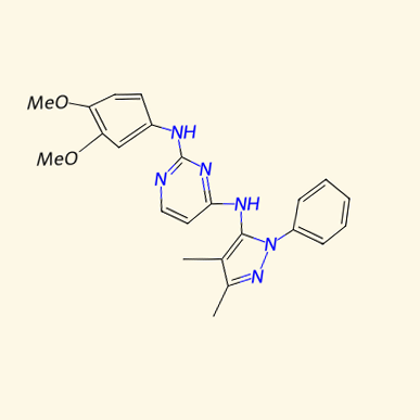 COc1ccc(Nc2nccc(Nc3c(C)c(C)nn3-c3ccccc3)n2)cc1OC